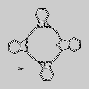 [Zn+].c1ccc2c(c1)-c1cc3[nH]c(cc4nc(cc5[nH]c(cc-2n1)c1ccccc51)-c1ccccc1-4)c1ccccc31